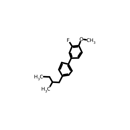 CCC(C)Cc1ccc(-c2ccc(OC)c(F)c2)cc1